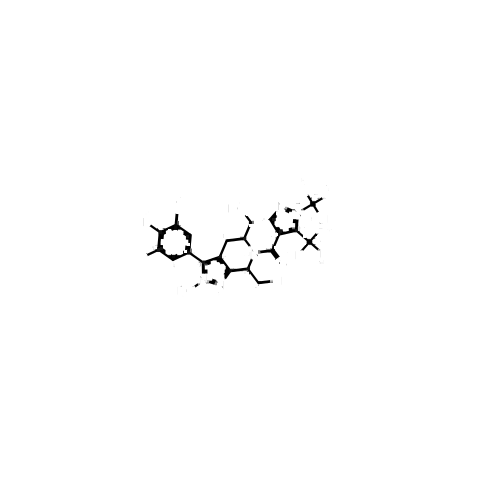 CCC1Cc2c(nn(C)c2-c2cc(F)c(F)c(F)c2)C(CC)N1C(=O)c1cnn(C(C)(C)C)c1C(F)(F)F